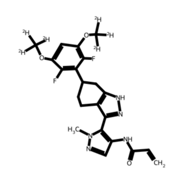 [2H]C([2H])([2H])Oc1cc(OC([2H])([2H])[2H])c(F)c(C2CCc3c(-c4c(NC(=O)C=C)cnn4C)n[nH]c3C2)c1F